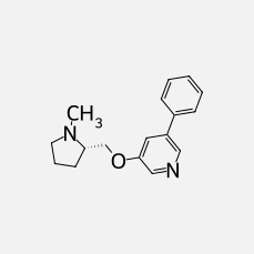 CN1CCC[C@H]1COc1cncc(-c2ccccc2)c1